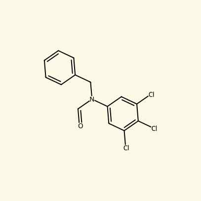 O=CN(Cc1ccccc1)c1cc(Cl)c(Cl)c(Cl)c1